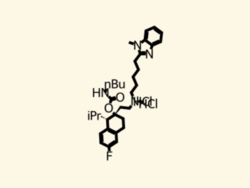 CCCCNC(=O)O[C@]1(CCN(C)CCCCCc2nc3ccccc3n2C)CCc2cc(F)ccc2[C@@H]1C(C)C.Cl.Cl